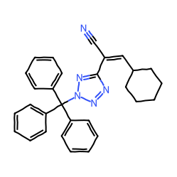 N#CC(=CC1CCCCC1)c1nnn(C(c2ccccc2)(c2ccccc2)c2ccccc2)n1